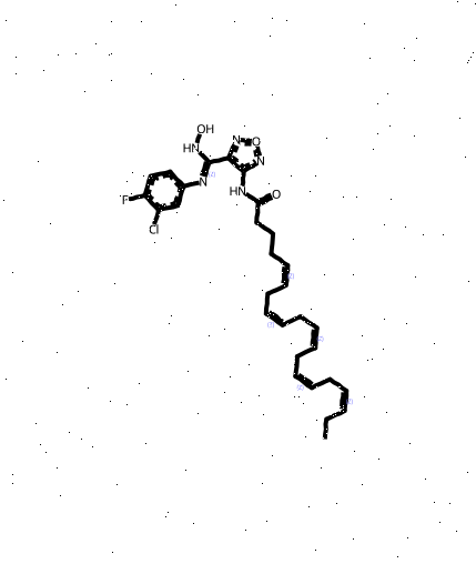 CC/C=C\C/C=C\C/C=C\C/C=C\C/C=C\CCCC(=O)Nc1nonc1/C(=N/c1ccc(F)c(Cl)c1)NO